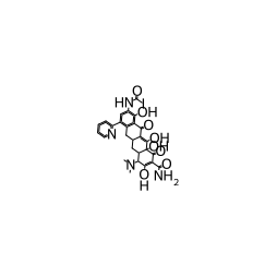 CN(C)C1C(O)=C(C(N)=O)C(=O)[C@@]2(O)C(O)=C3C(=O)c4c(O)c(NC(=O)I)cc(-c5ccccn5)c4CC3CC12